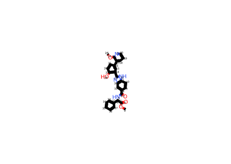 COC(=O)[C@@H](NC(=O)c1ccc2[nH]c(-c3cc(-c4cccnc4OC)ccc3O)nc2c1)c1ccccc1